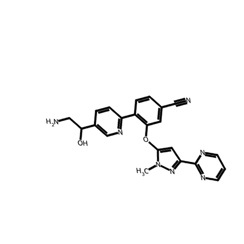 Cn1nc(-c2ncccn2)cc1Oc1cc(C#N)ccc1-c1ccc(C(O)CN)cn1